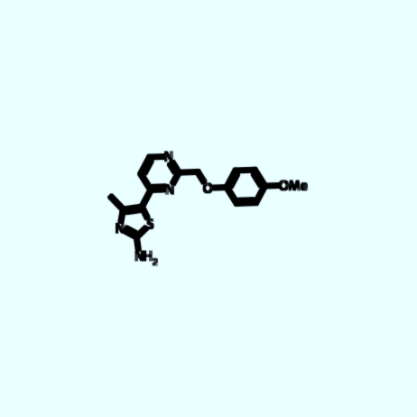 COc1ccc(OCc2nccc(-c3sc(N)nc3C)n2)cc1